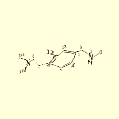 CNCc1ccc(CCN(C)I)cc1